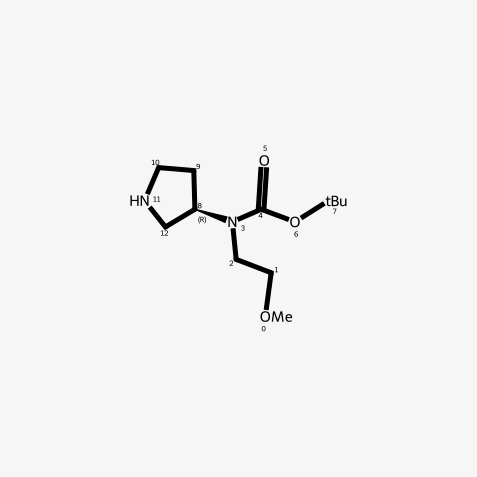 COCCN(C(=O)OC(C)(C)C)[C@@H]1CCNC1